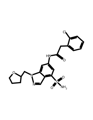 NS(=O)(=O)c1cc(NC(=O)Cc2ccccc2Cl)cc2c1cnn2CC1CCCO1